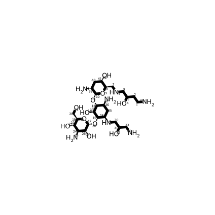 NCCC(O)CNC[C@H]1O[C@H](O[C@H]2[C@H](O)[C@@H](O[C@H]3O[C@H](CO)[C@@H](O)[C@H](N)[C@H]3O)[C@H](NCC(O)CN)C[C@@H]2N)[C@H](N)C[C@@H]1O